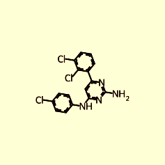 Nc1nc(Nc2ccc(Cl)cc2)cc(-c2cccc(Cl)c2Cl)n1